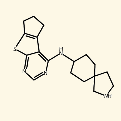 c1nc(NC2CCC3(CCNC3)CC2)c2c3c(sc2n1)CCC3